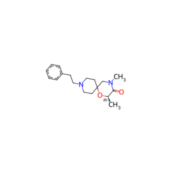 C[C@H]1OC2(CCN(CCc3ccccc3)CC2)CN(C)C1=O